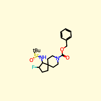 CC(C)(C)[S+]([O-])NC1C(F)CCC12CCN(C(=O)OCc1ccccc1)CC2